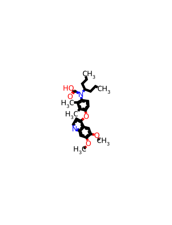 CCCC(CCC)N(C(=O)O)c1ccc(Oc2ccnc3cc(OC)c(OC)cc23)c(C)c1C